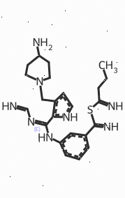 CCCC(=N)SC(=N)c1cccc(N/C(=N/C=N)c2[nH]ccc2CN2CCC(N)CC2)c1